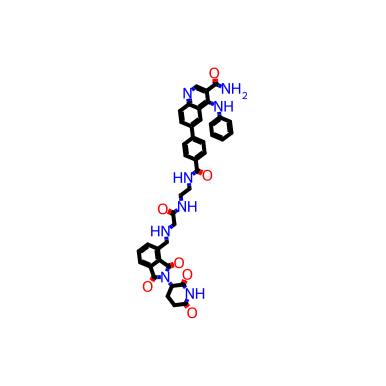 NC(=O)c1cnc2ccc(-c3ccc(C(=O)NCCNC(=O)CNCc4cccc5c4C(=O)N(C4CCC(=O)NC4=O)C5=O)cc3)cc2c1Nc1ccccc1